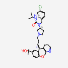 CC(C)NC(=O)N(CC1=CC=C(Cl)CC1)[C@H]1CCN(CC/C=C2\C3=C(COc4ccc(C(C)(C)O)cc42)N=CCC3)C1